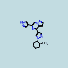 C[C@H]1CCCC[C@@H]1n1cc(-c2nc(-c3cn[nH]c3)cn3nccc23)cn1